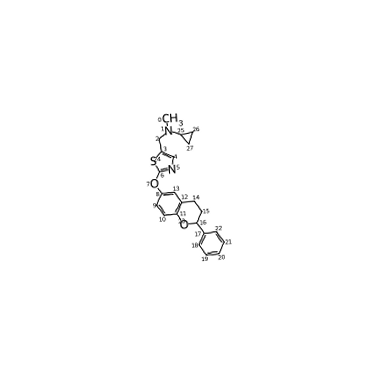 CN(Cc1cnc(Oc2ccc3c(c2)CCC(c2ccccc2)O3)s1)C1CC1